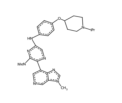 CNc1nc(Nc2ccc(OC3CCN(C(C)C)CC3)cc2)cnc1-c1cncc2c1ncn2C